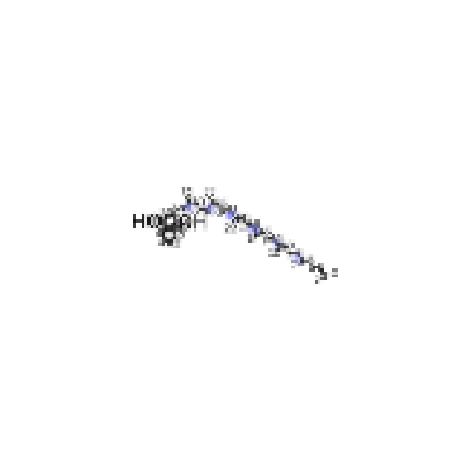 CC(C)=CCC/C(C)=C/CC/C(C)=C/CC/C(C)=C/CC/C(C)=C/CC/C(C)=C/CC/C(C)=C/Cc1cc(O)c2ccccc2c1O